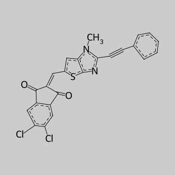 Cn1c(C#Cc2ccccc2)nc2sc(C=C3C(=O)c4cc(Cl)c(Cl)cc4C3=O)cc21